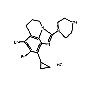 Brc1c(Br)c2c3c(nc(N4CCNCC4)n3CCC2)c1C1CC1.Cl